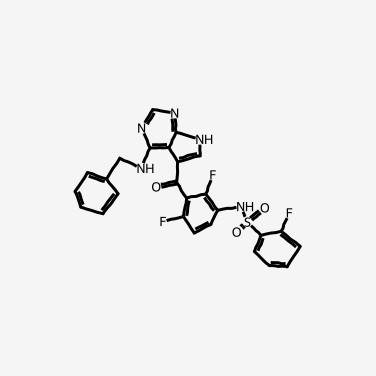 O=C(c1c(F)ccc(NS(=O)(=O)c2ccccc2F)c1F)c1c[nH]c2ncnc(NCc3ccccc3)c12